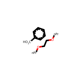 CCCOCCOCCC.O=C(O)c1ccccc1